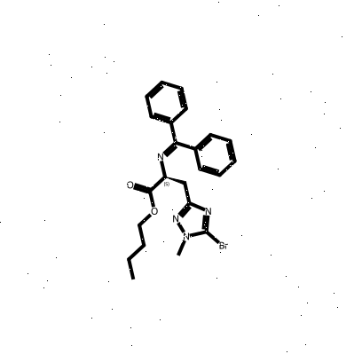 CCCCOC(=O)[C@H](Cc1nc(Br)n(C)n1)N=C(c1ccccc1)c1ccccc1